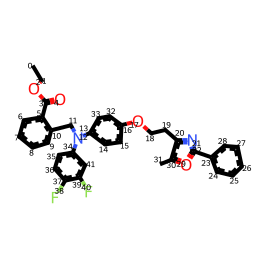 CCOC(=O)c1ccccc1CN(c1ccc(OCCc2nc(-c3ccccc3)oc2C)cc1)c1ccc(F)c(F)c1